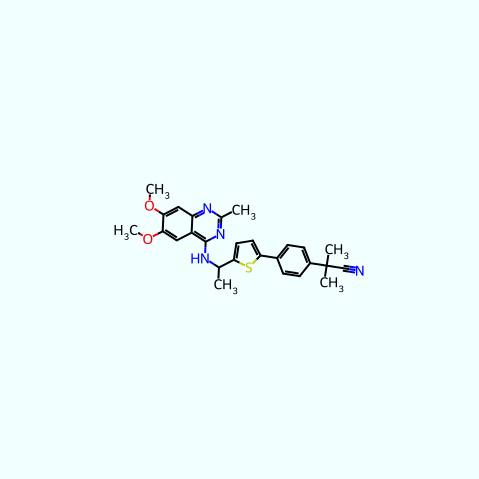 COc1cc2nc(C)nc(NC(C)c3ccc(-c4ccc(C(C)(C)C#N)cc4)s3)c2cc1OC